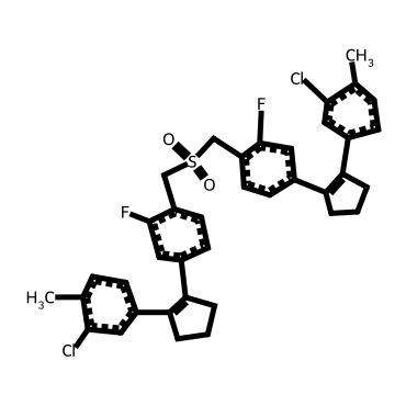 Cc1ccc(C2=C(c3ccc(CS(=O)(=O)Cc4ccc(C5=C(c6ccc(C)c(Cl)c6)CCC5)cc4F)c(F)c3)CCC2)cc1Cl